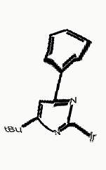 CC(C)(C)c1cc(-c2ccccc2)n[c]([Ir])n1